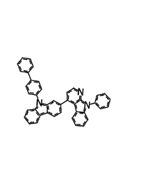 c1ccc(-c2ccc(-n3c4ccccc4c4ccc(-c5ccnc6c5c5ccccc5n6-c5ccccc5)cc43)cc2)cc1